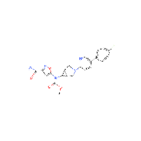 COC(=O)N(c1cc(C(N)=O)no1)C1C2CN(c3ccc(-c4ccc(F)cc4)cn3)CC21